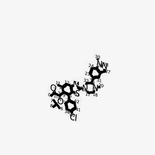 CC(=O)[C@@H](OC(C)(C)C)c1c(C)cc2nc(N3CCN(C)C(c4ccc5c(cnn5C)c4)C3)sc2c1-c1ccc(Cl)cc1